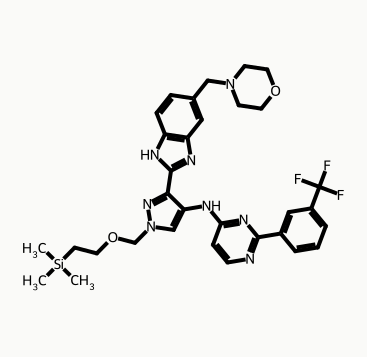 C[Si](C)(C)CCOCn1cc(Nc2ccnc(-c3cccc(C(F)(F)F)c3)n2)c(-c2nc3cc(CN4CCOCC4)ccc3[nH]2)n1